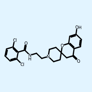 O=C1CC2(CCN(CCNC(=O)c3c(Cl)cccc3Cl)CC2)Oc2cc(O)ccc21